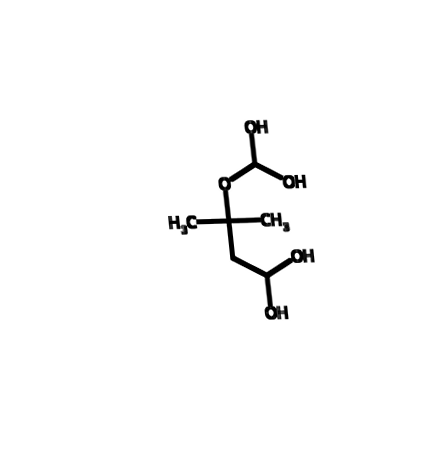 CC(C)(CC(O)O)OC(O)O